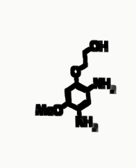 COc1cc(OCCO)c(N)cc1N